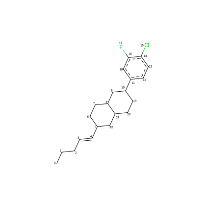 CCCC=CC1CCC2CC(c3ccc(Cl)c(F)c3)CCC2C1